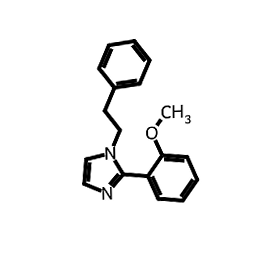 COc1ccccc1-c1nccn1CCc1ccccc1